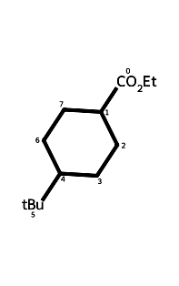 CCOC(=O)C1CCC(C(C)(C)C)CC1